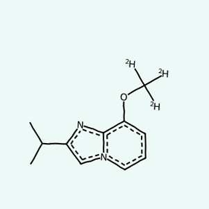 [2H]C([2H])([2H])Oc1cccn2cc(C(C)C)nc12